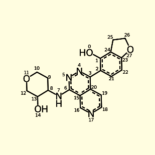 Oc1c(-c2nnc(NC3CCOCC3O)c3cnccc23)ccc2c1CCO2